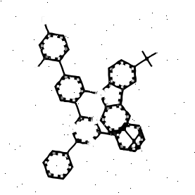 Fc1ccc(-c2ccc(-c3nc(-c4ccccc4)nc(-c4ccccc4)n3)c(-n3c4ccc(C(F)(F)F)cc4c4cc(C(F)(F)F)ccc43)c2)c(F)c1